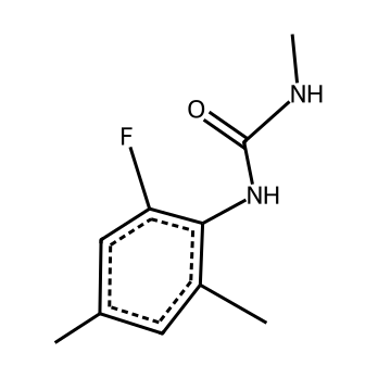 CNC(=O)Nc1c(C)cc(C)cc1F